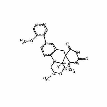 COc1ccncc1-c1cnc2c(c1)CC1(C(=O)NC(=O)NC1=O)[C@H]1[C@H](C)O[C@H](C)CN21